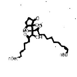 CCCC/C=C\CCCCCCCC(=O)C(O)(C(O)C(=O)CCCCCCCCCCCCCCC)C1(O)C(=O)CCC1=O